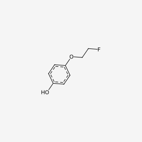 Oc1ccc(OCCF)cc1